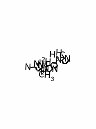 [2H]C1([2H])Cc2ncc(Nc3cccnc3C)cc2C([2H])([2H])N1c1nnc(C#N)cc1C